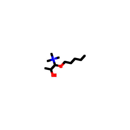 CCCCCOC(C(C)O)[N+](C)(C)C